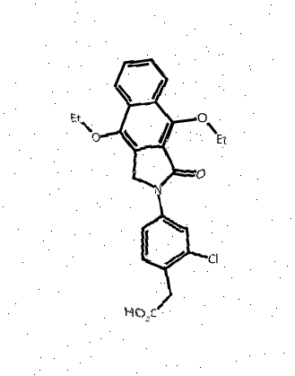 CCOc1c2c(c(OCC)c3ccccc13)C(=O)N(c1ccc(CC(=O)O)c(Cl)c1)C2